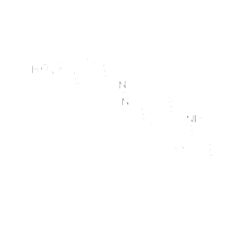 C=CC(=O)Nc1ccc(/N=N/c2ccc(S(=O)(=O)O)cc2)cc1